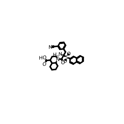 N#Cc1cccc(C[C@](N)(C(=O)N2CCC(C(=O)O)C3CCCCC32)S(=O)(=O)c2ccc3ccccc3c2)c1